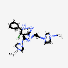 CN1CCN(CCn2nc(N3CCN(C)CC3)c3c2NNC(c2ccccc2)=C3Cl)CC1